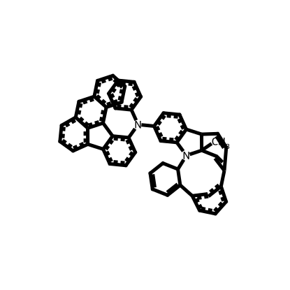 CC12C=C3C=CC1c1ccc(N(c4ccccc4)c4cccc5c4-c4c6ccccc6cc6cccc-5c46)cc1N2C1CC=CC=C1c1cccc3c1